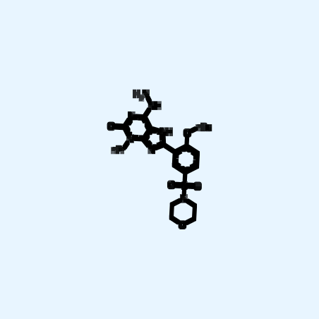 CCCCOc1ccc(S(=O)(=O)N2CCOCC2)cc1-c1nc2c([nH]1)c(NN)nc(=O)n2CCC